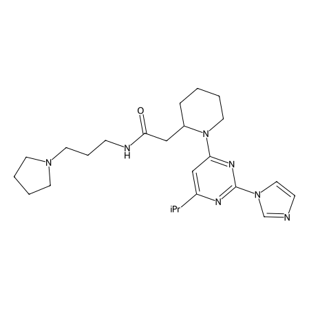 CC(C)c1cc(N2CCCCC2CC(=O)NCCCN2CCCC2)nc(-n2ccnc2)n1